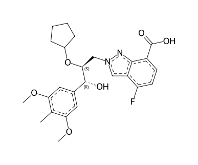 COc1cc([C@@H](O)[C@H](Cn2cc3c(F)ccc(C(=O)O)c3n2)OC2CCCC2)cc(OC)c1C